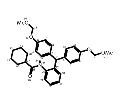 COCOc1ccc(C(c2ccc(OCOC)cc2)c2ccccc2N(C)C(=O)C2CCCCC2)cc1